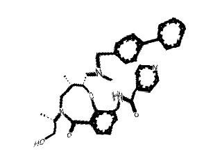 C[C@H]1CN([C@@H](C)CO)C(=O)c2cccc(NC(=O)c3ccncc3)c2O[C@H]1CN(C)Cc1ccc(-c2ccccc2)cc1